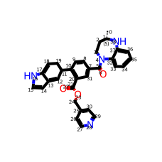 C[C@H]1CCN(C(=O)c2ccc(C3C=c4cc[nH]c4=CC3)c(C(=O)OCc3ccncc3)c2)c2ccccc2N1